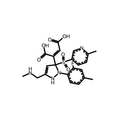 CNCC1=CC(/C(=C/C(=O)O)C(=O)O)(S(=O)(=O)c2ccc(C)nc2)N(c2ccc(C)cc2F)N1